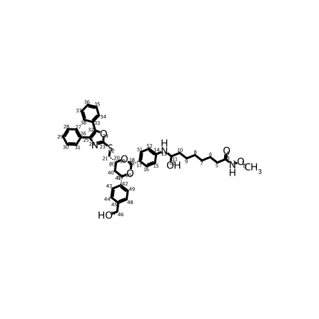 CONC(=O)CCCCCCC(O)Nc1ccc([C@H]2O[C@@H](CSc3nc(-c4ccccc4)c(-c4ccccc4)o3)C[C@@H](c3ccc(CO)cc3)O2)cc1